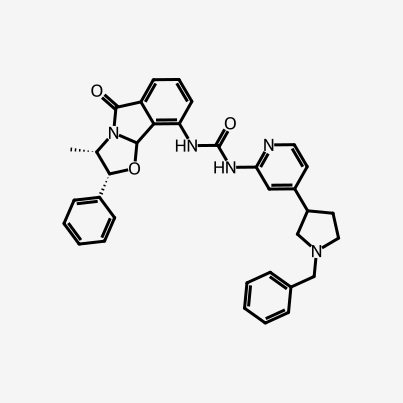 C[C@H]1[C@@H](c2ccccc2)OC2c3c(NC(=O)Nc4cc(C5CCN(Cc6ccccc6)C5)ccn4)cccc3C(=O)N21